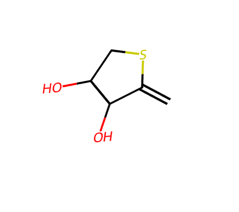 C=C1SCC(O)C1O